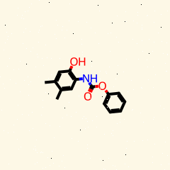 Cc1cc(O)c(NC(=O)Oc2ccccc2)cc1C